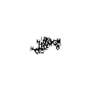 NC1NC=Cn2c([C@@H]3CC[C@@H]4CCC(=O)N4C3)nc(-c3ccc(C(=O)Nc4cc(C5CC5)ccn4)cc3)c21